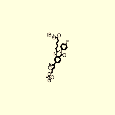 CC(C)(C)OC(=O)CCCCc1nc2cc(-c3cc(COS(C)(=O)=O)on3)ccc2c(=O)n1-c1ccc(F)cc1